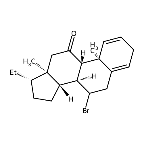 CC[C@H]1CC[C@H]2[C@@H]3C(Br)CC4=CCC=C[C@]4(C)[C@H]3C(=O)C[C@]12C